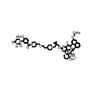 COCOc1cc(-c2ncc3c(N4CCC[C@@](C)(O)C4)nc(OCC4(CN5CCC(CCOCC6CCN(C(=O)c7ccc(OC)c(N8CCC(=O)NC8=O)c7)CC6)CC5)CC4)nc3c2F)c2c(C#C[Si](C(C)C)(C(C)C)C(C)C)cccc2c1